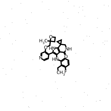 CCc1c(F)cccc1Nc1c(-c2ccncc2OCC2(C)CCO2)[nH]c2c1C(=O)NCC21CC1